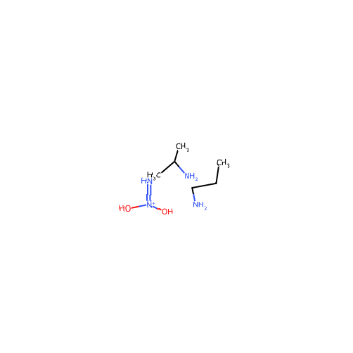 CC(C)N.CCCN.N=[N+](O)O